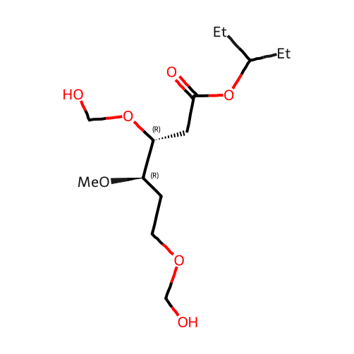 CCC(CC)OC(=O)C[C@@H](OCO)[C@@H](CCOCO)OC